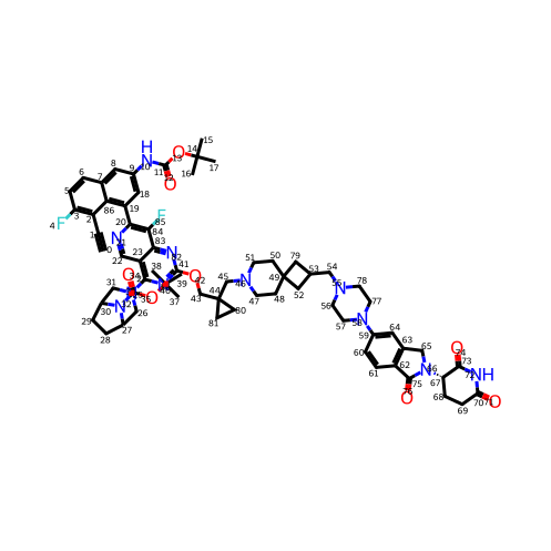 C#Cc1c(F)ccc2cc(NC(=O)OC(C)(C)C)cc(-c3ncc4c(N5CC6CCC(C5)N6C(=O)OC(C)(C)C)nc(OCC5(CN6CCC7(CC6)CC(CN6CCN(c8ccc9c(c8)CN([C@H]8CCC(=O)NC8=O)C9=O)CC6)C7)CC5)nc4c3F)c12